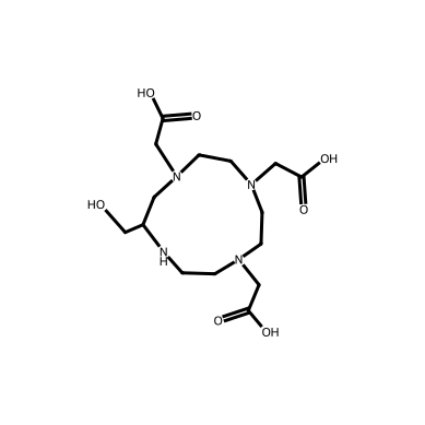 O=C(O)CN1CCNC(CO)CN(CC(=O)O)CCN(CC(=O)O)CC1